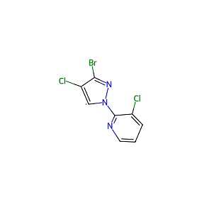 Clc1[c]n(-c2ncccc2Cl)nc1Br